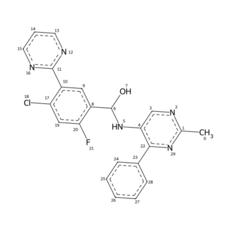 Cc1ncc(NC(O)c2cc(-c3ncccn3)c(Cl)cc2F)c(-c2ccccc2)n1